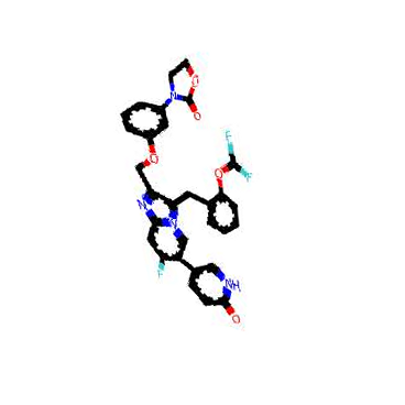 O=C1OCCN1c1cccc(OCc2nc3cc(F)c(-c4ccc(=O)[nH]c4)cn3c2Cc2ccccc2OC(F)F)c1